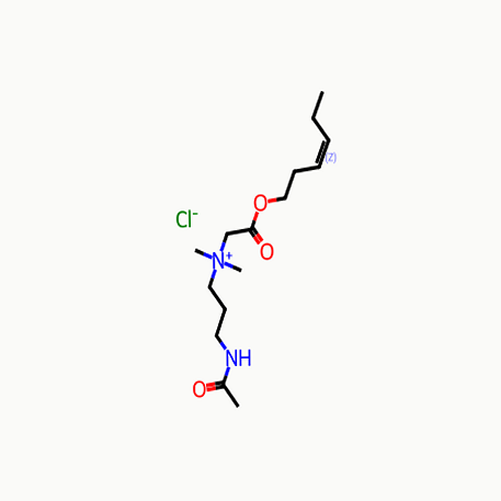 CC/C=C\CCOC(=O)C[N+](C)(C)CCCNC(C)=O.[Cl-]